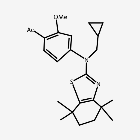 COc1cc(N(CC2CC2)c2nc3c(s2)C(C)(C)CCC3(C)C)ccc1C(C)=O